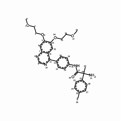 COCCOc1cc2ncnc(-c3ccc(NC(=O)C(C)(N)c4ccc(F)cc4)cc3)c2cc1OCCOC